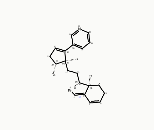 CC/C=C1/C=CCC[C@]1(C)[C@H](C)CC[C@]1(C)C(c2cccnc2)=CC[C@H]1C